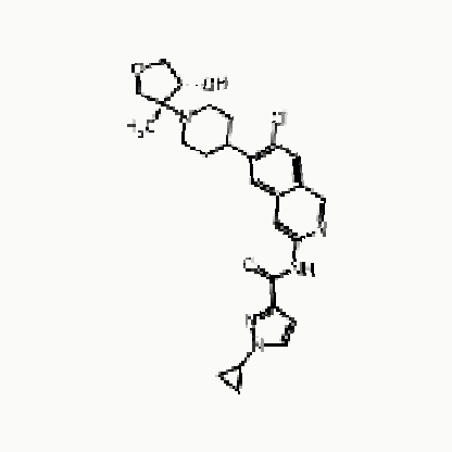 C[C@@]1(N2CCC(c3cc4cc(NC(=O)c5ccn(C6CC6)n5)ncc4cc3Cl)CC2)COC[C@@H]1O